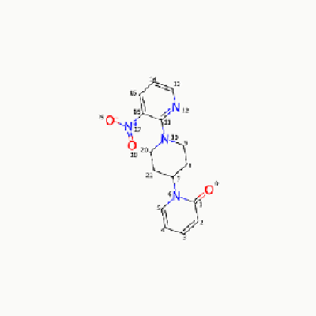 O=c1ccccn1C1CCN(c2ncccc2[N+](=O)[O-])CC1